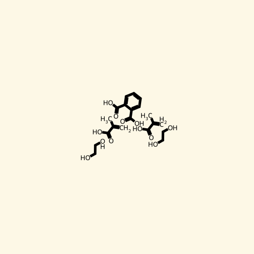 C=C(C)C(=O)O.C=C(C)C(=O)O.O=C(O)c1ccccc1C(=O)O.OCCO.OCCO